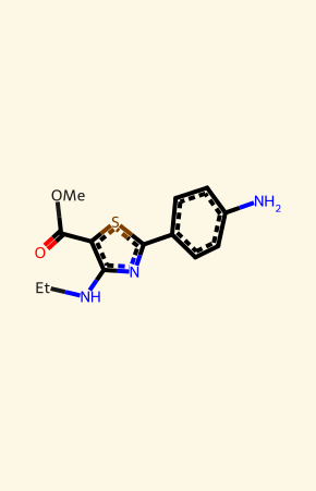 CCNc1nc(-c2ccc(N)cc2)sc1C(=O)OC